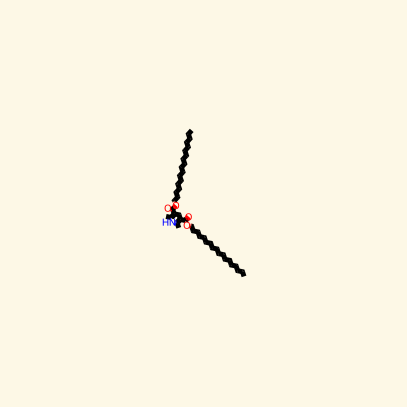 CCCCCCCCCCCCCCCCCCOC(=O)C1=C(C)NC(C)=C(C(=O)OCCCCCCCCCCCCCCCCCC)C1